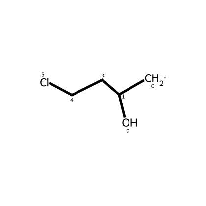 [CH2]C(O)CCCl